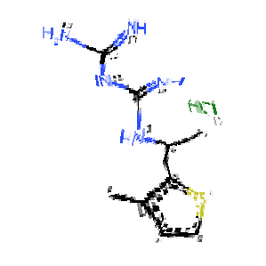 Cc1ccsc1C(C)NC(=N)NC(=N)N.Cl